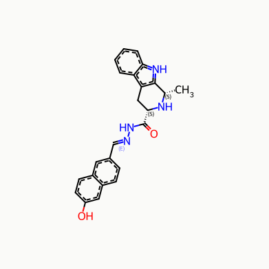 C[C@@H]1N[C@H](C(=O)N/N=C/c2ccc3cc(O)ccc3c2)Cc2c1[nH]c1ccccc21